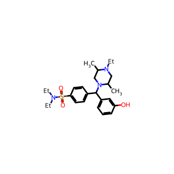 CCN1CC(C)N(C(c2ccc(S(=O)(=O)N(CC)CC)cc2)c2cccc(O)c2)CC1C